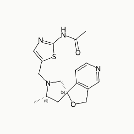 CC(=O)Nc1ncc(CN2C[C@@]3(C[C@@H]2C)OCc2cnccc23)s1